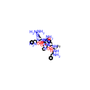 CC(C)C[C@H](NC(=O)C(N)Cc1ccccc1)C(=O)N[C@@H](Cc1ccccc1)C(=O)N[C@@H](CCC(N)=O)C(=O)N1CCC[C@H]1C(=O)N[C@@H](CCC(N)=O)C(=O)N[C@@H](CCCN=C(N)N)C(=O)NC(Cc1ccccc1)C(N)=O